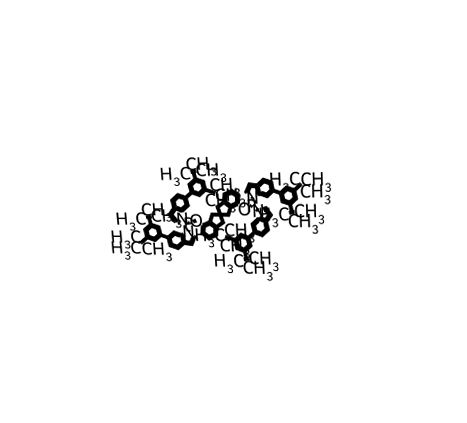 CC(C)(C)c1cc(-c2ccc3ccn(P(Oc4cccc5c4CC4(C5)Cc5cccc(OP(n6ccc7ccc(-c8cc(C(C)(C)C)cc(C(C)(C)C)c8)cc76)n6ccc7ccc(-c8cc(C(C)(C)C)cc(C(C)(C)C)c8)cc76)c5C4)n4ccc5ccc(-c6cc(C(C)(C)C)cc(C(C)(C)C)c6)cc54)c3c2)cc(C(C)(C)C)c1